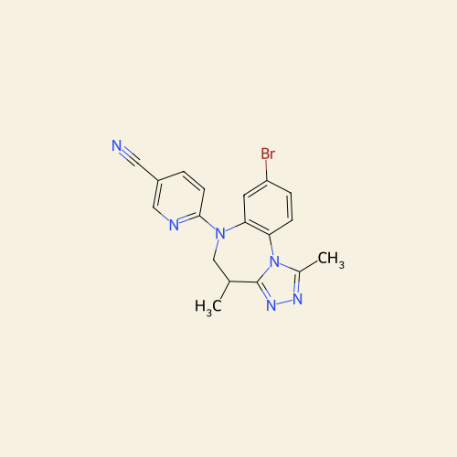 Cc1nnc2n1-c1ccc(Br)cc1N(c1ccc(C#N)cn1)CC2C